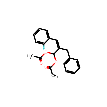 CC(=O)OC(OC(C)=O)C(=Cc1ccccc1F)Cc1ccccc1